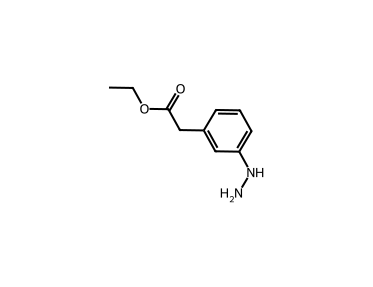 CCOC(=O)Cc1cccc(NN)c1